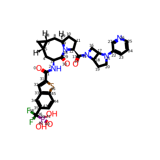 O=C(N[C@H]1C[C@@H]2C[C@@H]2C[C@H]2CC[C@@H](C(=O)N3CC4C3CCN4c3cccnc3)N2C1=O)c1cc2cc(C(F)(F)P(=O)(O)O)ccc2s1